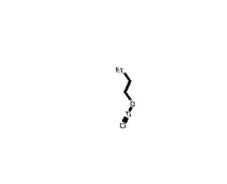 CCCC[O][Ti]=[O]